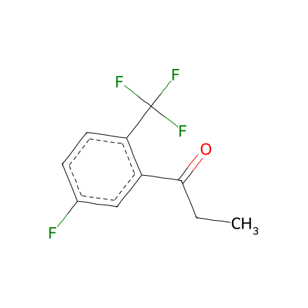 CCC(=O)c1cc(F)ccc1C(F)(F)F